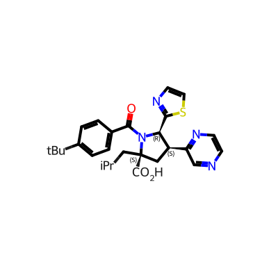 CC(C)C[C@@]1(C(=O)O)C[C@H](c2cnccn2)[C@H](c2nccs2)N1C(=O)c1ccc(C(C)(C)C)cc1